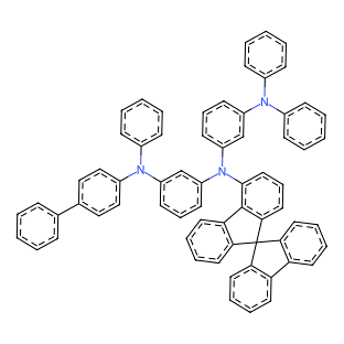 c1ccc(-c2ccc(N(c3ccccc3)c3cccc(N(c4cccc(N(c5ccccc5)c5ccccc5)c4)c4cccc5c4-c4ccccc4C54c5ccccc5-c5ccccc54)c3)cc2)cc1